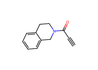 C#CC(=O)N1CCc2ccccc2C1